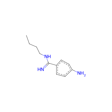 CCCCNC(=N)c1ccc(N)cc1